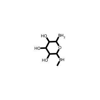 BC1OC(BC)C(O)C(O)C1O